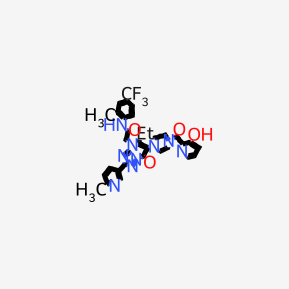 CCc1c(N2CCN(C(=O)c3ncccc3O)CC2)c(=O)n2nc(-c3ccc(C)nc3)nc2n1CC(=O)Nc1ccc(C(F)(F)F)cc1C